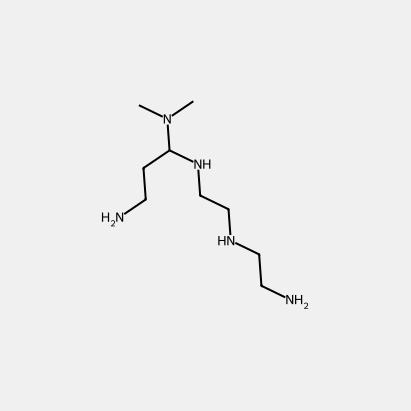 CN(C)C(CCN)NCCNCCN